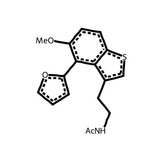 COc1ccc2scc(CCNC(C)=O)c2c1-c1ccco1